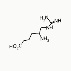 N=C(N)NCC(N)CCCC(=O)O